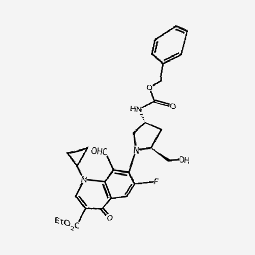 CCOC(=O)c1cn(C2CC2)c2c(C=O)c(N3C[C@H](NC(=O)OCc4ccccc4)C[C@H]3CO)c(F)cc2c1=O